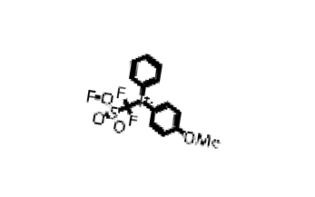 COc1ccc([I+](c2ccccc2)C(F)(F)S(=O)(=O)OF)cc1